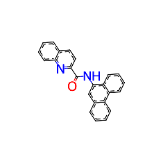 O=C(Nc1cc2ccccc2c2ccccc12)c1ccc2ccccc2n1